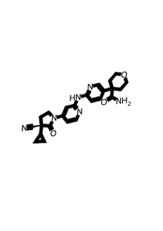 N#C[C@@]1(C2CC2)CCN(c2ccnc(Nc3ccc(C4(C(N)=O)CCOCC4)cn3)c2)C1=O